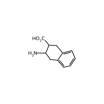 NC1Cc2ccccc2CC1C(=O)O